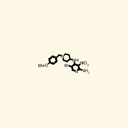 COc1ccc(CN2CCC(Nc3c(Br)cnc(N)c3[N+](=O)[O-])CC2)cc1